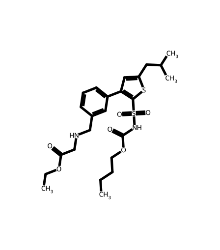 CCCCOC(=O)NS(=O)(=O)c1sc(CC(C)C)cc1-c1cccc(CNCC(=O)OCC)c1